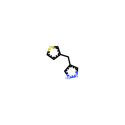 c1cc(Cc2cn[nH]c2)cs1